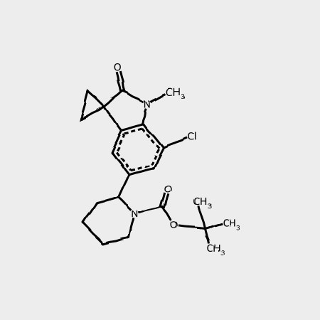 CN1C(=O)C2(CC2)c2cc(C3CCCCN3C(=O)OC(C)(C)C)cc(Cl)c21